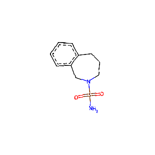 NS(=O)(=O)N1CCCc2ccccc2C1